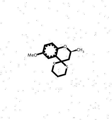 COc1ccc2c(c1)C1(C[C@H](C)O2)SCCCS1